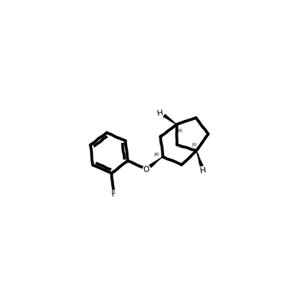 Fc1ccccc1O[C@H]1C[C@@H]2CC[C@@H](C2)C1